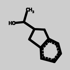 CC(O)C1Cc2ccccc2C1